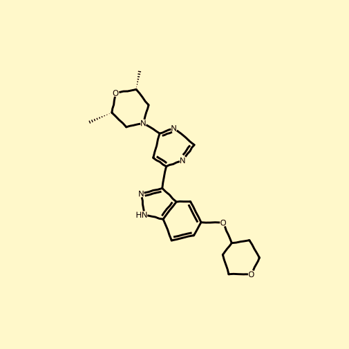 C[C@@H]1CN(c2cc(-c3n[nH]c4ccc(OC5CCOCC5)cc34)ncn2)C[C@H](C)O1